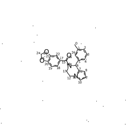 Cc1cccc(C2c3cccn3CCN2C(=O)c2ccc3c(c2)OCO3)c1